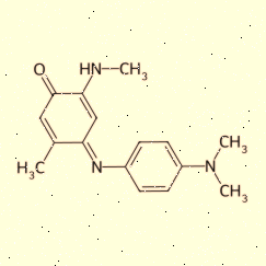 CNC1=CC(=Nc2ccc(N(C)C)cc2)C(C)=CC1=O